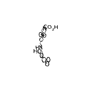 O=C(O)N1CCC(S(=O)(=O)c2ccc(CCNC[C@H](O)COc3ccc4c(c3)OCO4)cc2)CC1